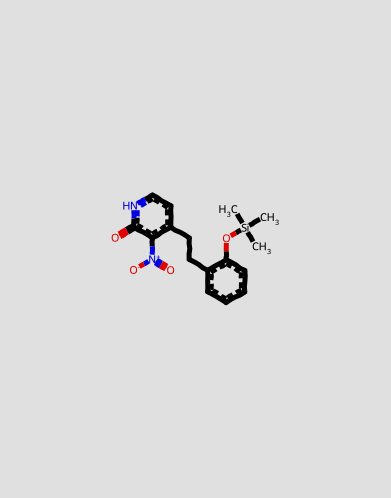 C[Si](C)(C)Oc1ccccc1CCc1cc[nH]c(=O)c1[N+](=O)[O-]